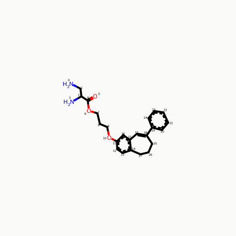 NCC(N)C(=O)OCCCOc1ccc2c(c1)C=C(c1ccccc1)CCC2